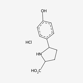 Cl.O=C(O)C1CCC(c2ccc(O)cc2)N1